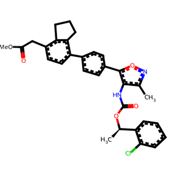 COC(=O)Cc1ccc(-c2ccc(-c3onc(C)c3NC(=O)O[C@H](C)c3ccccc3Cl)cc2)c2c1CCC2